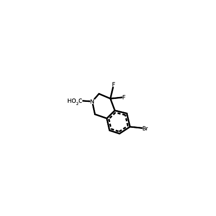 O=C(O)N1Cc2ccc(Br)cc2C(F)(F)C1